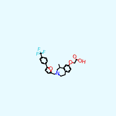 CC1CN(Cc2ccc(-c3ccc(C(F)(F)F)cc3)o2)CCc2ccc(OCC(=O)O)cc21